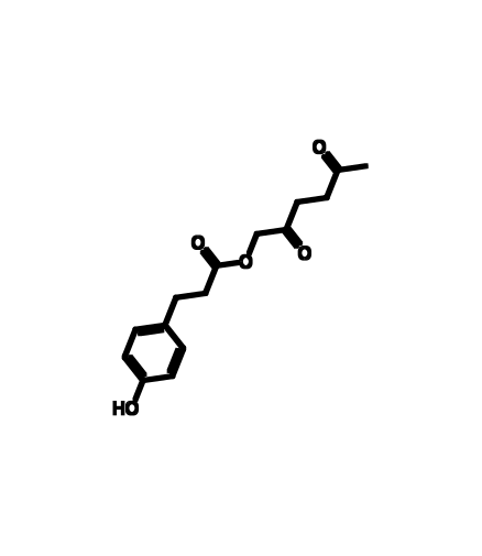 CC(=O)CCC(=O)COC(=O)CCc1ccc(O)cc1